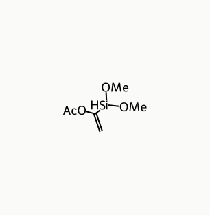 C=C(OC(C)=O)[SiH](OC)OC